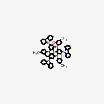 Cc1ccc2c(c1)Cc1c(-n3c4ccccc4c4ccccc43)cc3c4c1n-2c1cc(-n2c5ccccc5c5ccccc52)c2oc5cc(C)ccc5n5c6cc(-n7c8ccccc8c8ccccc87)c7oc8cc(C)ccc8n3c7c6p4c1c25